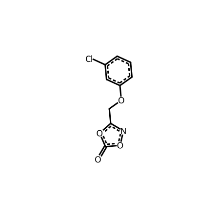 O=c1onc(COc2cccc(Cl)c2)o1